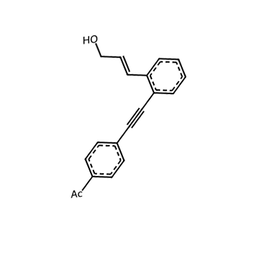 CC(=O)c1ccc(C#Cc2ccccc2/C=C/CO)cc1